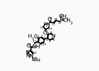 Cc1cc(-c2ccncc2OC2CCN(C(=O)C=CCN(C)C)C2)ccc1CNC(=O)c1cn(C(C)(C)C)nn1